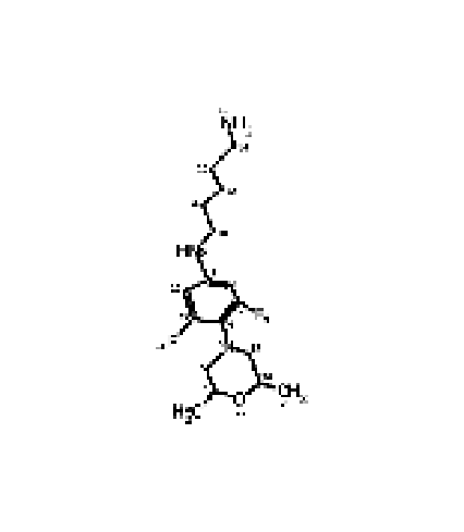 CC1CN(c2c(F)cc(NCCCCCN)cc2F)CC(C)O1